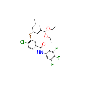 CCCC(CC(C)C(OCC)OCC)Sc1cc(C(=O)Nc2cc(F)c(F)c(F)c2)ccc1Cl